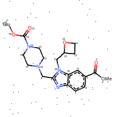 COC(=O)c1ccc2nc(CN3CCN(C(=O)OC(C)(C)C)CC3)n(CC3CCO3)c2c1